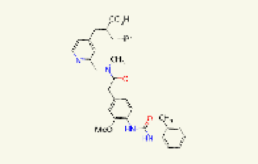 COc1cc(CC(=O)N(C)Cc2cc(CC(CC(C)C)C(=O)O)ccn2)ccc1NC(=O)Nc1ccccc1C